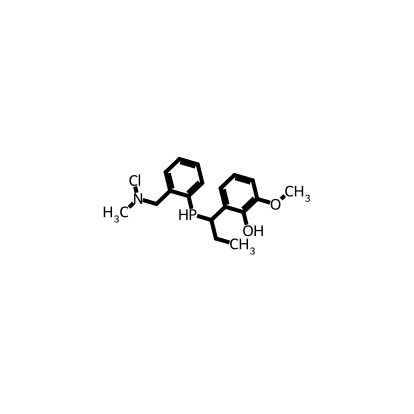 CCC(Pc1ccccc1CN(C)Cl)c1cccc(OC)c1O